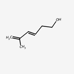 C=C(C)C=CCCO